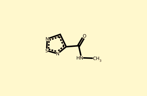 CNC(=O)c1cnsn1